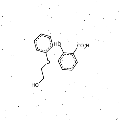 O=C(O)c1ccccc1O.OCCOc1ccccc1